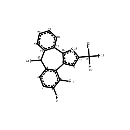 Fc1ccc2c(c1F)-c1cc(C(F)(F)F)sc1-c1ccccc1C2I